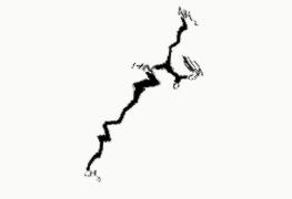 CCCCCCCCCC=CNC(CCCCN)C(=O)O